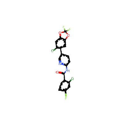 O=C(Nc1ccc(-c2cc3c(cc2Cl)OC(F)(F)O3)cn1)c1ccc(F)cc1Cl